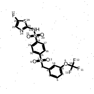 O=S(=O)(Cc1cccc(OC(F)(F)F)c1)c1ccc(S(=O)(=O)Nc2ncc(F)s2)cc1